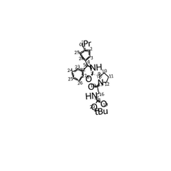 CC(C)c1ccc([C@@H](NC(=O)[C@@H]2CCCN2C(=O)CNC(=O)OC(C)(C)C)c2ccccc2)cc1